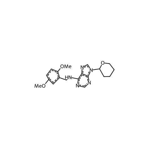 COc1ccc(OC)c(CNc2ncnc3c2ncn3C2CCCCO2)c1